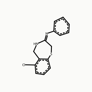 Clc1cccc2c1CN/C(=N/c1ccccc1)CS2